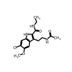 CCNC(=O)c1[nH]c2cc(Cl)c(OC)cc2c1CCNC(C)=O